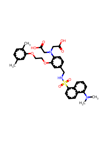 Cc1ccc(C)c(OCCOc2cc(CNS(=O)(=O)c3cccc4c(N(C)C)cccc34)ccc2N(CC(=O)O)CC(=O)O)c1